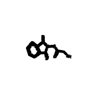 O=C(CO)SN1C(=O)c2ccccc2C1=O